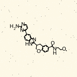 COCCNC(=O)c1ccc2c(c1)CC(c1nc3cc(-c4ccnc(N)n4)ccc3[nH]1)CO2